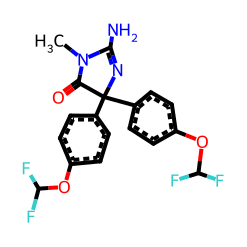 CN1C(=O)C(c2ccc(OC(F)F)cc2)(c2ccc(OC(F)F)cc2)N=C1N